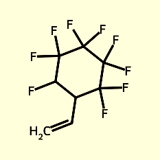 C=CC1C(F)C(F)(F)C(F)(F)C(F)(F)C1(F)F